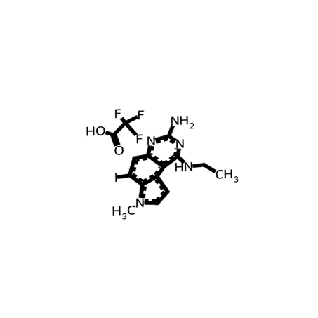 CCNc1nc(N)nc2cc(I)c3c(ccn3C)c12.O=C(O)C(F)(F)F